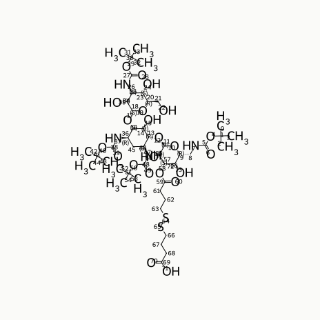 CC(C)(C)OC(=O)NC[C@H]1O[C@H](O[C@H]2[C@H](O)[C@@H](O[C@H]3O[C@H](CO)[C@@H](O)[C@H](NC(=O)OC(C)(C)C)[C@H]3O)[C@H](NC(=O)OC(C)(C)C)C[C@@H]2NC(=O)OC(C)(C)C)[C@H](O)[C@@H](OC(=O)CCCSSCCCC(=O)O)[C@@H]1O